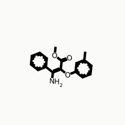 COC(=O)C(Oc1cccc(C)c1)=C(N)c1ccccc1